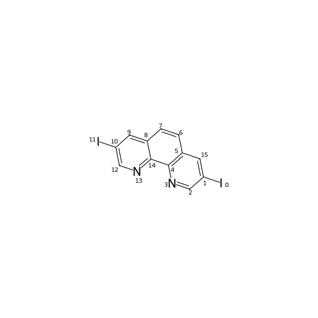 Ic1cnc2c(ccc3cc(I)cnc32)c1